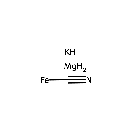 N#[C][Fe].[KH].[MgH2]